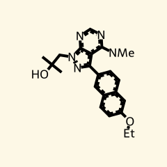 CCOc1ccc2cc(-c3nn(CC(C)(C)O)c4ncnc(NC)c34)ccc2c1